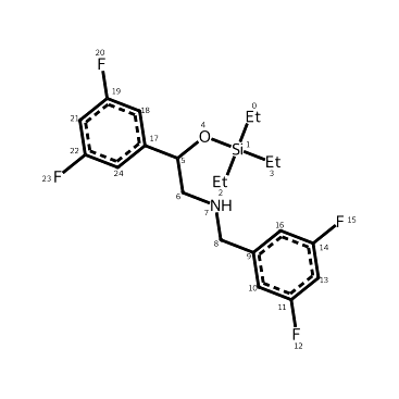 CC[Si](CC)(CC)OC(CNCc1cc(F)cc(F)c1)c1cc(F)cc(F)c1